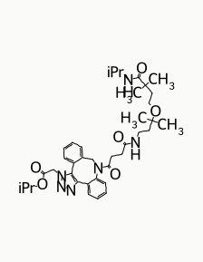 CC(C)NC(=O)C(C)(C)CCOC(C)(C)CCNC(=O)CCC(=O)N1Cc2ccccc2-c2c(nnn2CC(=O)OC(C)C)-c2ccccc21